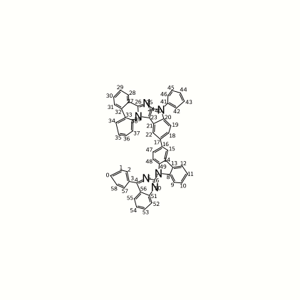 c1ccc(-c2nc(-n3c4ccccc4c4cc(-c5ccc6c(c5)c5c(nc7c8ccccc8c8ccccc8n75)n6-c5ccccc5)ccc43)nc3ccccc23)cc1